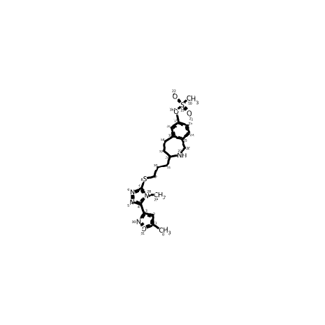 Cc1cc(-c2nnc(SCCCC3CCc4cc(OS(C)(=O)=O)ccc4CN3)n2C)no1